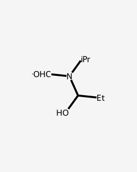 CCC(O)N([C]=O)C(C)C